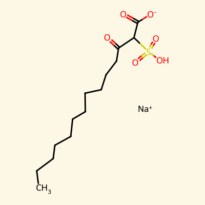 CCCCCCCCCCCC(=O)C(C(=O)[O-])S(=O)(=O)O.[Na+]